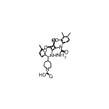 Cc1ccc(C(Nc2c(N(C(N)=O)c3ccc(C)c(C)c3O)c(=O)c2=O)C2CCN(C(=O)O)CC2)o1